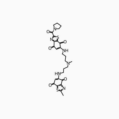 Cc1nc2c(s1)C(=O)C=C(NCCCN(C)CCCNC1=CC(=O)c3nc(C(=O)N4CCCC4)sc3C1=O)C2=O